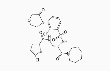 O=C(NC[C@H](NS(=O)(=O)c1cccc(N2CCOCC2=O)c1Cl)C(=O)N1CCCCCC1)c1ccc(Cl)s1